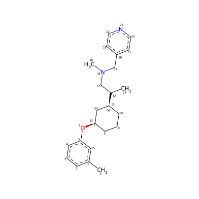 Cc1cccc(O[C@@H]2CCC[C@H](C(C)CN(C)Cc3ccncc3)C2)c1